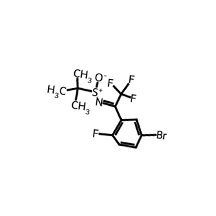 CC(C)(C)[S+]([O-])N=C(c1cc(Br)ccc1F)C(F)(F)F